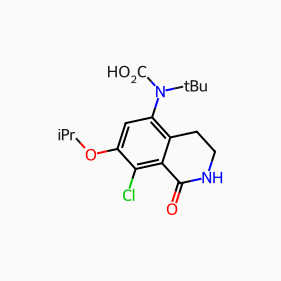 CC(C)Oc1cc(N(C(=O)O)C(C)(C)C)c2c(c1Cl)C(=O)NCC2